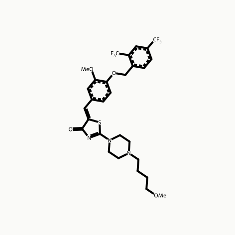 COCCCCN1CCN(C2=NC(=O)C(=Cc3ccc(OCc4ccc(C(F)(F)F)cc4C(F)(F)F)c(OC)c3)S2)CC1